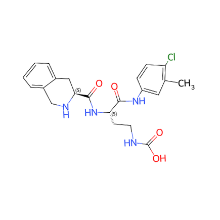 Cc1cc(NC(=O)[C@H](CCNC(=O)O)NC(=O)[C@@H]2Cc3ccccc3CN2)ccc1Cl